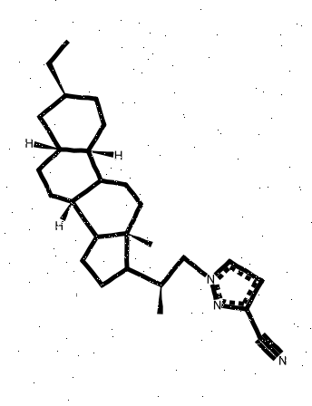 CC[C@H]1CC[C@@H]2C3CC[C@@]4(C)C(CCC4[C@H](C)Cn4ccc(C#N)n4)[C@@H]3CC[C@@H]2C1